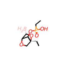 B[C@@H]1O[C@@]2(CC)COC1C2OP(=O)(O)CC